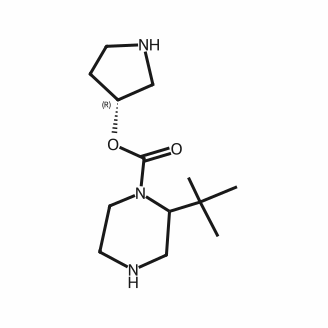 CC(C)(C)C1CNCCN1C(=O)O[C@@H]1CCNC1